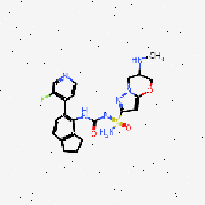 CNC1COc2cc(S(N)(=O)=NC(=O)Nc3c(-c4ccncc4F)ccc4c3CCC4)nn2C1